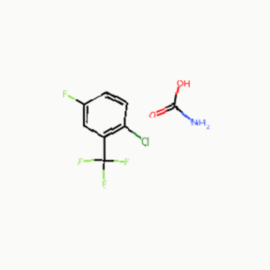 Fc1ccc(Cl)c(C(F)(F)F)c1.NC(=O)O